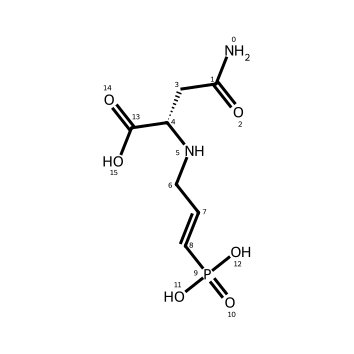 NC(=O)C[C@H](NCC=CP(=O)(O)O)C(=O)O